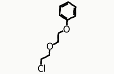 ClCCOCCOc1ccccc1